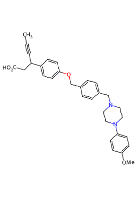 CC#CC(CC(=O)O)c1ccc(OCc2ccc(CN3CCN(c4ccc(OC)cc4)CC3)cc2)cc1